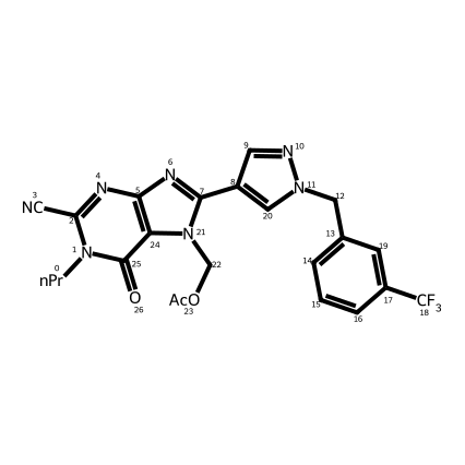 CCCn1c(C#N)nc2nc(-c3cnn(Cc4cccc(C(F)(F)F)c4)c3)n(COC(C)=O)c2c1=O